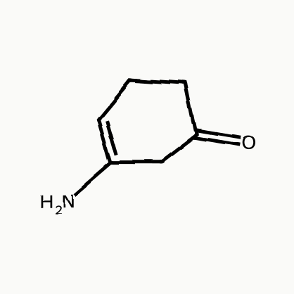 NC1=CCCC(=O)C1